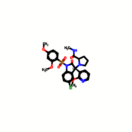 CNC(=O)C1CCCN1[C@@]1(c2cccnc2OC)C(=O)N(S(=O)(=O)c2ccc(OC)cc2OC)c2ccc(Cl)cc21